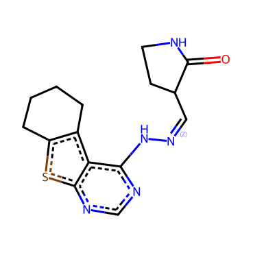 O=C1NCCC1/C=N\Nc1ncnc2sc3c(c12)CCCC3